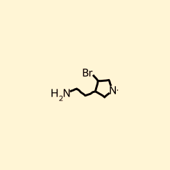 NCCC1C[N]CC1Br